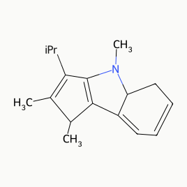 CC1=C(C(C)C)C2=C(C3=CC=CCC3N2C)C1C